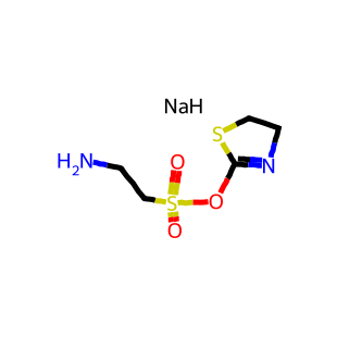 NCCS(=O)(=O)OC1=NCCS1.[NaH]